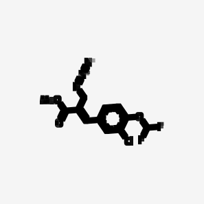 COC(=O)/C(=C/c1ccc(OC(F)F)c(Cl)c1)CN=[N+]=[N-]